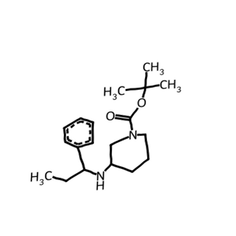 CCC(NC1CCCN(C(=O)OC(C)(C)C)C1)c1ccccc1